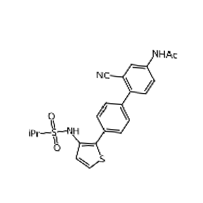 CC(=O)Nc1ccc(-c2ccc(-c3sccc3NS(=O)(=O)C(C)C)cc2)c(C#N)c1